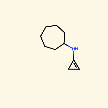 C1=C(NC2CCCCCC2)C1